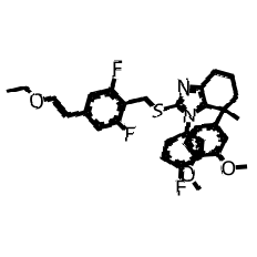 CCOC=Cc1cc(F)c(CSc2nc3c(n2-c2ccc(F)cc2)C(C)(c2ccc(OC)c(OC)c2)CCC3)c(F)c1